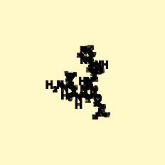 C=C(/C=C(\NN)C1CC1)Nc1cc(OCCN(C)C)nc(NCC2=CC(c3ccncn3)NO2)n1